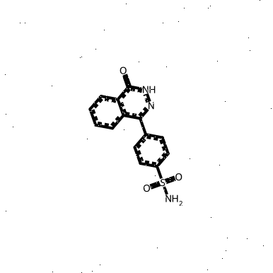 NS(=O)(=O)c1ccc(-c2n[nH]c(=O)c3ccccc23)cc1